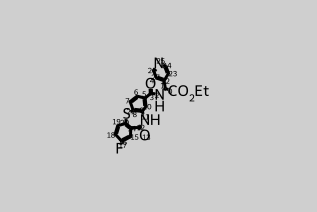 CCOC(=O)C(NC(=O)c1ccc2c(c1)NC(=O)c1cc(F)ccc1S2)c1ccncc1